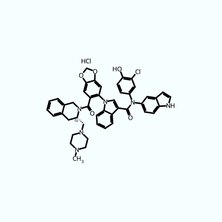 CN1CCN(C[C@@H]2Cc3ccccc3CN2C(=O)c2cc3c(cc2-n2cc(C(=O)N(c4ccc(O)c(Cl)c4)c4ccc5[nH]ccc5c4)c4ccccc42)OCO3)CC1.Cl